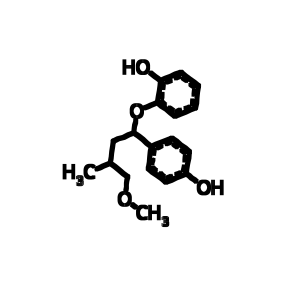 COCC(C)CC(Oc1ccccc1O)c1ccc(O)cc1